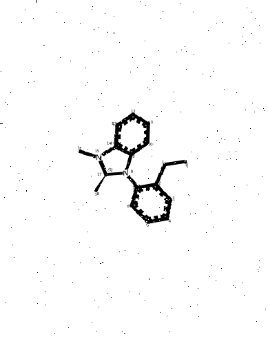 CCc1ccccc1N1c2ccccc2N(C)[C@@H]1C